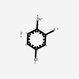 Fc1cc(Cl)cc[c]1[Zn+].[I-]